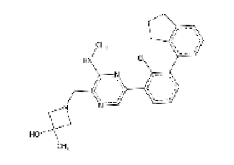 CNc1nc(-c2cccc(-c3cccc4c3CCC4)c2Cl)cnc1CN1CC(C)(O)C1